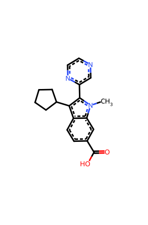 Cn1c(-c2cnccn2)c(C2CCCC2)c2ccc(C(=O)O)cc21